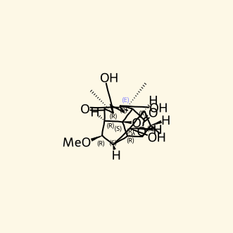 CO[C@@H]1[C@@H]2[C@@H](O)[C@@H]3O[C@]45/C(=C(\O)[C@H](C)C[C@@](C)(O)C(=O)[C@H]14)C(=O)O[C@]25C[C@H]3C